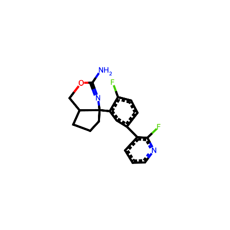 NC1=NC2(c3cc(-c4cccnc4F)ccc3F)CCCC2CO1